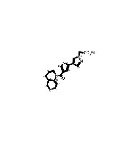 CCOC(=O)Cn1cc(-c2cc(C(=O)N3CCCC4CCCC=C43)cs2)cn1